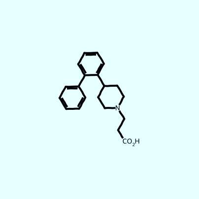 O=C(O)CCN1CCC(c2ccccc2-c2ccccc2)CC1